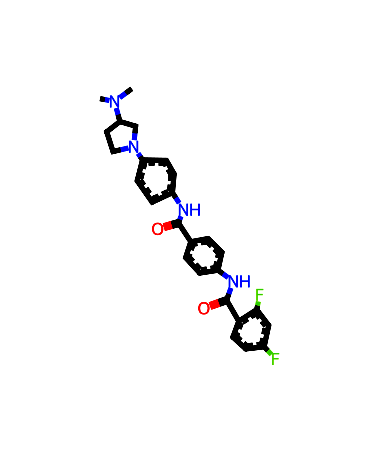 CN(C)C1CCN(c2ccc(NC(=O)c3ccc(NC(=O)c4ccc(F)cc4F)cc3)cc2)C1